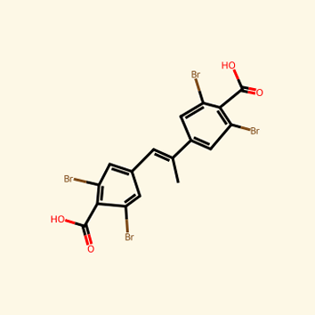 C/C(=C\c1cc(Br)c(C(=O)O)c(Br)c1)c1cc(Br)c(C(=O)O)c(Br)c1